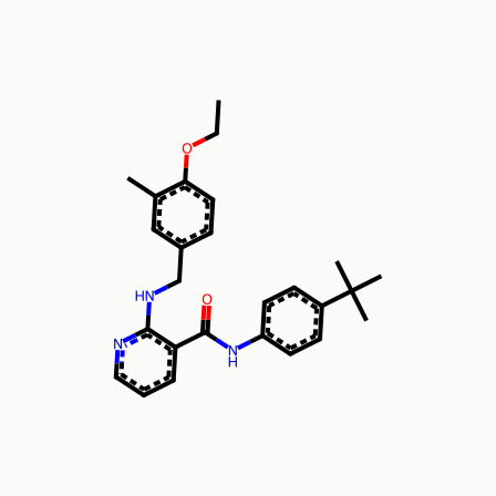 CCOc1ccc(CNc2ncccc2C(=O)Nc2ccc(C(C)(C)C)cc2)cc1C